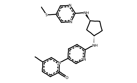 CSc1cnc(N[C@H]2CC[C@H](Nc3ccc(-n4cc(C)ccc4=O)cn3)C2)nc1